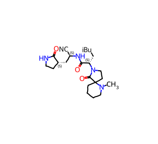 CCC(C)C[C@@H](C(=O)N[C@H](C#N)C[C@@H]1CCNC1=O)N1CCC2(CCCCN2C)C1=O